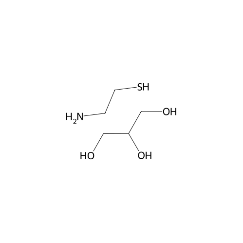 NCCS.OCC(O)CO